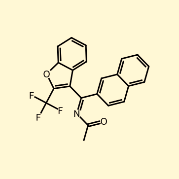 CC(=O)N=C(c1ccc2ccccc2c1)c1c(C(F)(F)F)oc2ccccc12